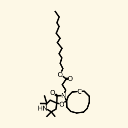 CCCCCCCCCCCCOC(=O)CCN1C(=O)C2(CC(C)(C)NC(C)(C)C2)OC12CCCCCCCCCCC2